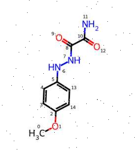 COc1ccc(NNC(=O)C(N)=O)cc1